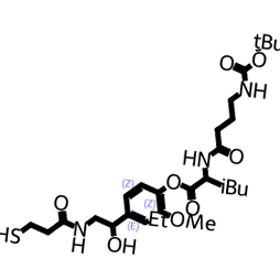 CC\C=C(/C=C\C(=C\OC)OC(=O)C(NC(=O)CCCNC(=O)OC(C)(C)C)C(C)CC)C(O)CNC(=O)CCS